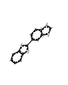 [c]1c(-c2nc3ccccc3o2)ccc2ncoc12